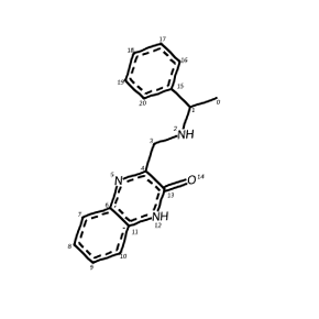 CC(NCc1nc2ccccc2[nH]c1=O)c1ccccc1